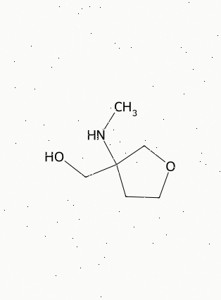 CNC1(CO)CCOC1